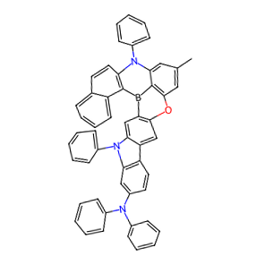 Cc1cc2c3c(c1)N(c1ccccc1)c1ccc4ccccc4c1B3c1cc3c(cc1O2)c1ccc(N(c2ccccc2)c2ccccc2)cc1n3-c1ccccc1